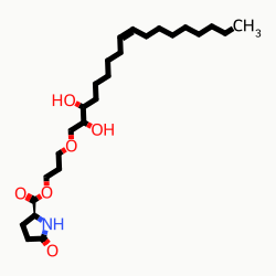 CCCCCCCC/C=C\CCCCCC(O)C(O)COCCCOC(=O)[C@@H]1CCC(=O)N1